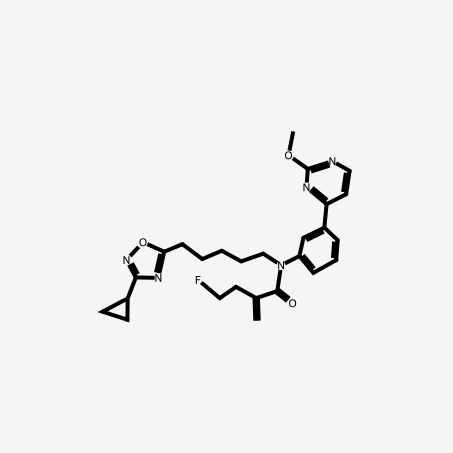 C=C(CCF)C(=O)N(CCCCCc1nc(C2CC2)no1)c1cccc(-c2ccnc(OC)n2)c1